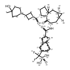 CC1(O)CCN(C2CN(C(=O)[C@@H]3CC[C@@H]4C[C@H]5C[C@H]5C[C@H](NC(=O)c5cc6cc(C(F)(F)P(=O)(O)O)ccc6s5)C(=O)N43)C2)CC1